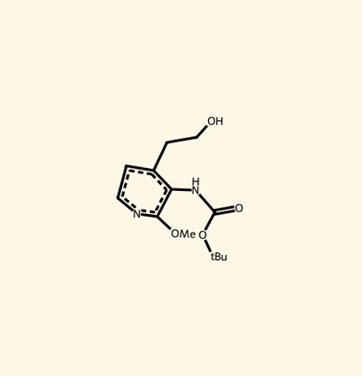 COc1nccc(CCO)c1NC(=O)OC(C)(C)C